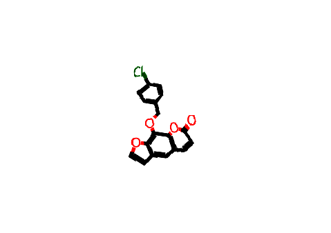 O=c1ccc2cc3ccoc3c(OCc3ccc(Cl)cc3)c2o1